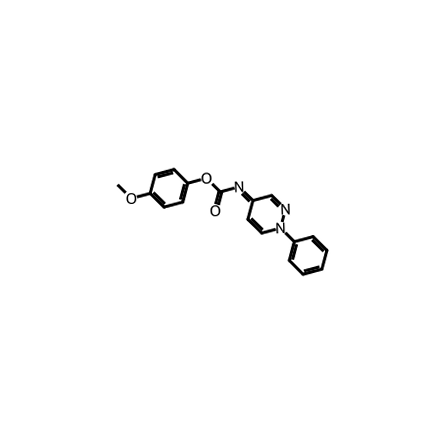 COc1ccc(OC(=O)/N=c2\ccn(-c3ccccc3)nc2)cc1